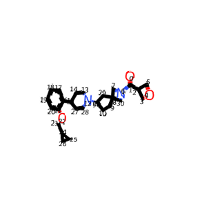 O=C(C1COC1)N1CC2(CC[C@@H](N3CCC(c4ccccc4OCC4CC4)CC3)C2)C1